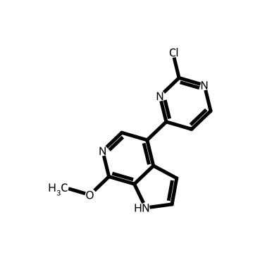 COc1ncc(-c2ccnc(Cl)n2)c2cc[nH]c12